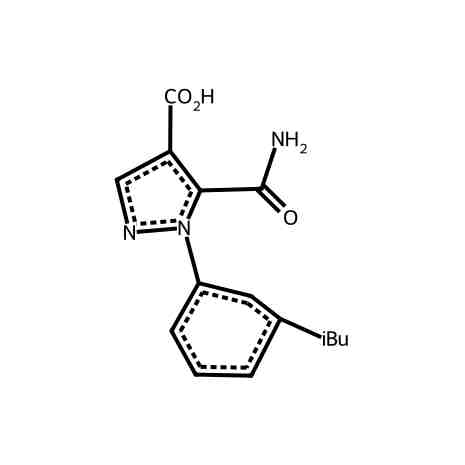 CCC(C)c1cccc(-n2ncc(C(=O)O)c2C(N)=O)c1